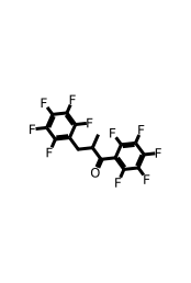 CC(Cc1c(F)c(F)c(F)c(F)c1F)C(=O)c1c(F)c(F)c(F)c(F)c1F